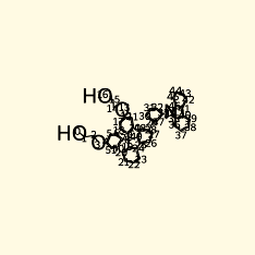 OCCOc1ccc(C2(c3ccc(OCCO)cc3)c3ccccc3-c3ccc(-c4cccc(-n5c6ccccc6c6ccccc65)c4)cc32)cc1